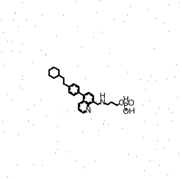 O=[PH](O)OCCCNCc1ccc(-c2ccc(CCC3CCCCC3)cc2)c2cccnc12